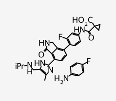 Cc1nc(-c2ccc(-c3ccc(NC(=O)C4(C(=O)O)CC4)cc3F)c3c2C(=O)NC3)[nH]c1CNC(C)C.Nc1ccc(F)cc1